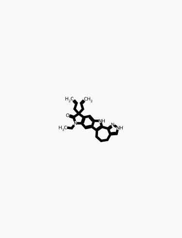 C=CCC1(CC=C)C(=O)N(CC)c2cc3c4c([nH]c3cc21)-c1n[nH]cc1CCC4